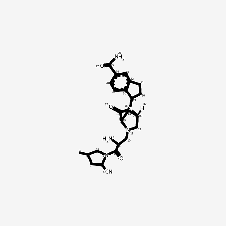 CC1CC(C#N)N(C(=O)C(N)CN2C[C@@H]3CC2C(=O)N3C2CCc3cc(C(N)=O)ccc32)C1